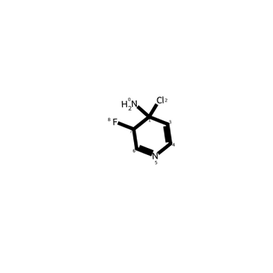 NC1(Cl)C=CN=CC1F